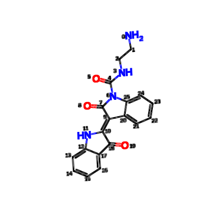 NCCNC(=O)N1C(=O)/C(=C2\Nc3ccccc3C2=O)c2ccccc21